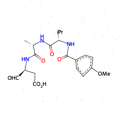 COc1ccc(C(=O)N[C@H](C(=O)N[C@@H](C)C(=O)N[C@H](C=O)CC(=O)O)C(C)C)cc1